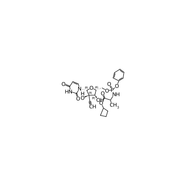 C#C[C@@]1(O)[C@H](O)[C@@H](COP(=O)(NC(C)C(=O)OC2CCC2)Oc2ccccc2)O[C@H]1n1ccc(=O)[nH]c1=O